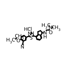 CC(C)Oc1ccc(-c2nnc(-c3cccc4c3CC[C@H]4NCC(=O)N(C)C)s2)cc1C#N.Cl